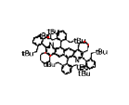 CC(C)(C)Cc1cccc(CC(C)(C)C)c1-c1nc2c(-c3c(CC(C)(C)C)cccc3CC(C)(C)C)c3cc4c5c(c(-c6c(CC(C)(C)C)cccc6CC(C)(C)C)nc4c(-c4c(CC(C)(C)C)cccc4CC(C)(C)C)c3cc2c2c1C1CCC2CC1)C1CCC5CC1